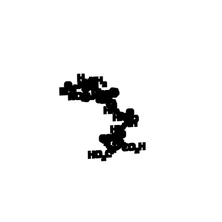 CCC(=O)NCCNC(=O)/N=C(/N)NCCC[C@@H](NC(=O)[C@@H](c1ccccc1)c1ccc(NCCCNc2c(NCCNC(=O)CN3CCN(CC(=O)O)CCN(CC(=O)O)CCN(CC(=O)O)CC3)c(=O)c2=O)cc1)C(=O)NCc1ccc(O)cc1